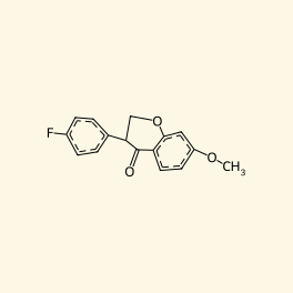 COc1ccc2c(c1)OCC(c1ccc(F)cc1)C2=O